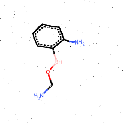 NCOBc1ccccc1N